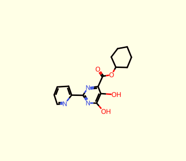 O=C(OC1CCCCC1)c1nc(-c2ccccn2)nc(O)c1O